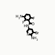 Nc1ccc(F)c(C(=O)Nc2cnc(N)c(Br)c2)c1F